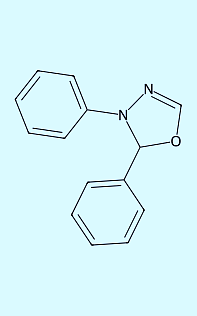 C1=NN(c2ccccc2)C(c2ccccc2)O1